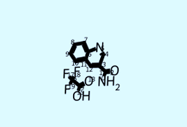 NC(=O)c1cnc2ccccc2c1.O=C(O)C(F)(F)F